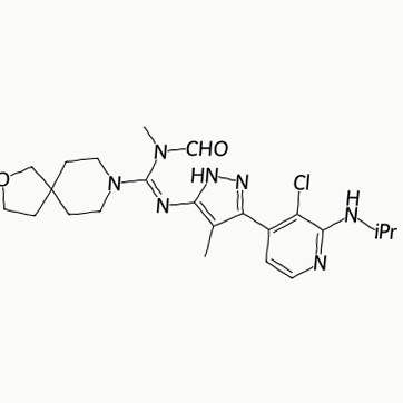 Cc1c(-c2ccnc(NC(C)C)c2Cl)n[nH]c1/N=C(\N(C)C=O)N1CCC2(CCOC2)CC1